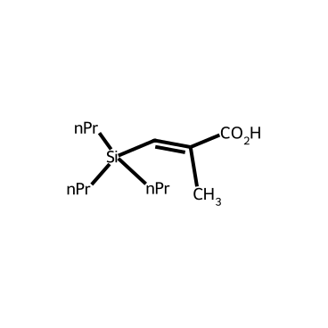 CCC[Si](/C=C(\C)C(=O)O)(CCC)CCC